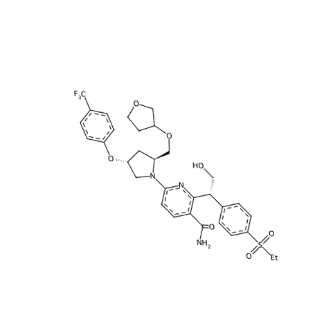 CCS(=O)(=O)c1ccc([C@@H](CO)c2nc(N3C[C@H](Oc4ccc(C(F)(F)F)cc4)C[C@H]3COC3CCOC3)ccc2C(N)=O)cc1